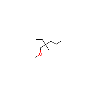 CCCC(C)(CC)COC